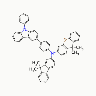 CC1(C)c2ccccc2Sc2cc(N(c3ccc(-c4ccc5c(c4)c4ccccc4n5-c4ccccc4)cc3)c3ccc4c(c3)C(C)(C)c3ccccc3-4)ccc21